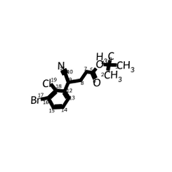 CC(C)(C)OC(=O)CCC(C#N)c1cccc(Br)c1Cl